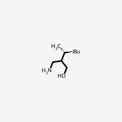 CC[C@H](C)[C@@H](C)C(CN)CO